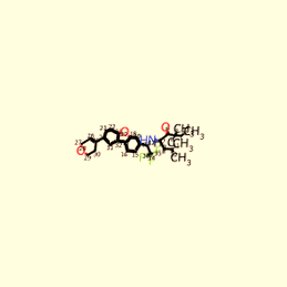 CCC(C)(C)C(=O)C(CC(C)C)NC(c1ccc2c(c1)oc1ccc(C3=CCOCC3)cc12)C(F)(F)F